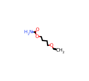 C=COCCCCOC(N)=O